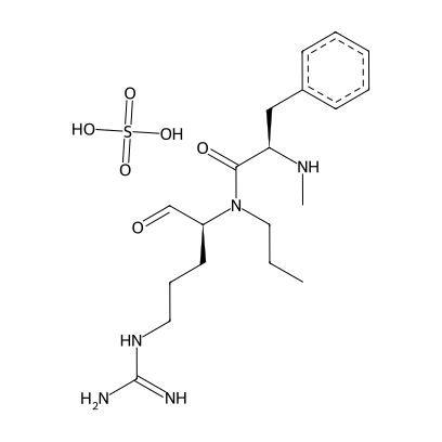 CCCN(C(=O)[C@@H](Cc1ccccc1)NC)[C@H](C=O)CCCNC(=N)N.O=S(=O)(O)O